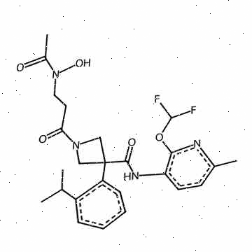 CC(=O)N(O)CCC(=O)N1CC(C(=O)Nc2ccc(C)nc2OC(F)F)(c2ccccc2C(C)C)C1